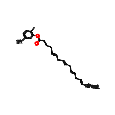 CCCCCC=CCC=CCC=CCC=CCCCC(=O)Oc1cc(C(C)C)ccc1C